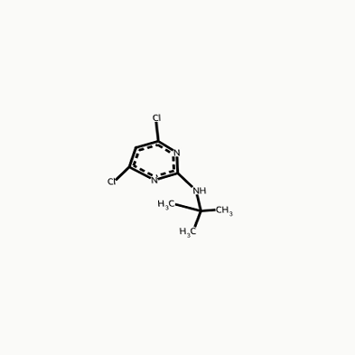 CC(C)(C)Nc1nc(Cl)cc(Cl)n1